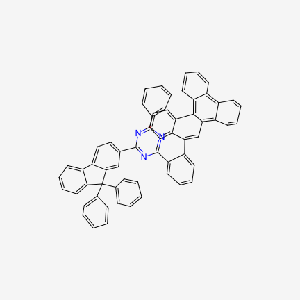 c1ccc(-c2nc(-c3ccc4c(c3)C(c3ccccc3)(c3ccccc3)c3ccccc3-4)nc(-c3ccccc3-c3cc4c5ccccc5c5ccccc5c4c4ccccc34)n2)cc1